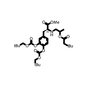 CCC(C)CC(=O)OC(C)CN[C@@H](Cc1ccc(OC(=O)OCC(C)(C)C)c(OC(=O)OCC(C)(C)C)c1)C(=O)OC